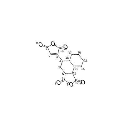 O=C1C=C(C2CC3C(=O)OC(=O)C3C3=CCCCC32)C(=O)O1